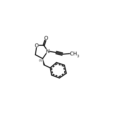 CC#CN1C(=O)OC[C@@H]1Cc1ccccc1